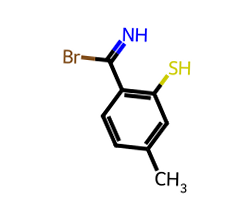 Cc1ccc(C(=N)Br)c(S)c1